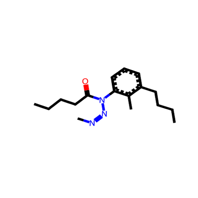 CCCCC(=O)N(/N=N\C)c1cccc(CCCC)c1C